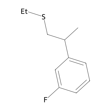 CCSCC(C)c1cccc(F)c1